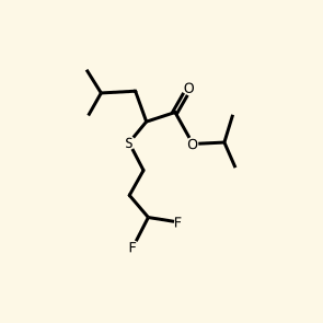 CC(C)CC(SCCC(F)F)C(=O)OC(C)C